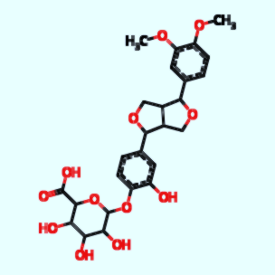 COc1ccc(C2OCC3C(c4ccc(OC5OC(C(=O)O)C(O)C(O)C5O)c(O)c4)OCC23)cc1OC